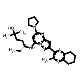 CC[C@H](CCC(C)(C)O)Nc1cc(N2CCCC2)nc2cc(-c3nc4c(nc3C)CCCC4)nn12